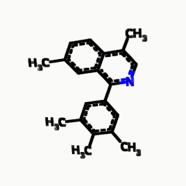 Cc1ccc2c(C)cnc(-c3cc(C)c(C)c(C)c3)c2c1